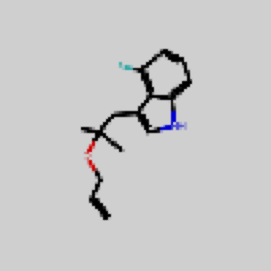 C=CCOC(C)(C)Cc1c[nH]c2cccc(F)c12